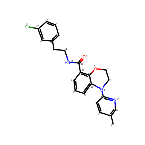 Cc1ccc(N2CCOc3c(C(=O)NCCc4cccc(Cl)c4)cccc32)nc1